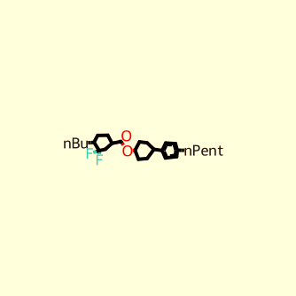 CCCCCc1ccc(C2CCC(OC(=O)C3CCC(CCCC)C(F)(F)C3)CC2)cc1